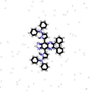 Cn1c(-c2c3nsnc3c(-c3ccc(N(c4ccccc4)c4ccccc4)n3C)c3nc4c5ccccc5c5ccccc5c4nc23)ccc1N(c1ccccc1)c1ccccc1